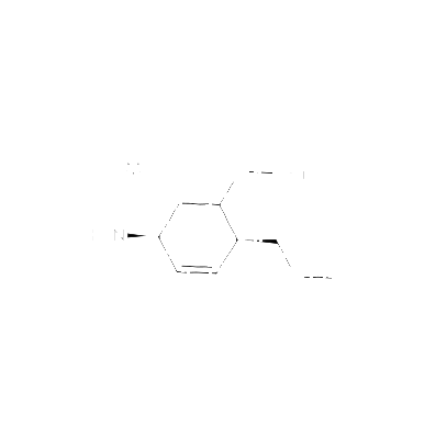 CO[C@@H]1C(OC(C)(C)C)[C@@H](COC(C)C)C=C[C@H]1N